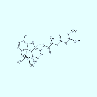 Cc1ccc(O)c2c1[C@]13CCN(C)[C@H](C)[C@]1(O)CC=C(OC(=O)[C@@H](O)CC(=O)O[C@@H](CC(=O)O)C(=O)O)[C@@H]3O2